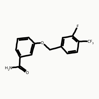 NC(=O)c1cccc(OCc2ccc(C(F)(F)F)c(F)c2)c1